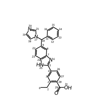 CCc1cc(-c2nc3cc(C(c4ccccc4)n4ccnc4)ccc3[nH]2)ccc1C(=O)O